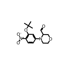 CC(C)(C)Oc1cc(N2CCOCC2C=O)ccc1[N+](=O)[O-]